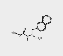 CN(C(=O)OC(C)(C)C)[C@@H](Cc1ccc2ccccc2c1)C(=O)O